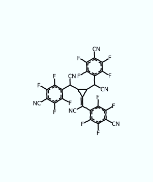 N#CC(=C1C(C(C#N)c2c(F)c(F)c(C#N)c(F)c2F)C1C(C#N)c1c(F)c(F)c(C#N)c(F)c1F)c1c(F)c(F)c(C#N)c(F)c1F